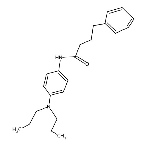 CCCN(CCC)c1ccc(NC(=O)CCCc2ccccc2)cc1